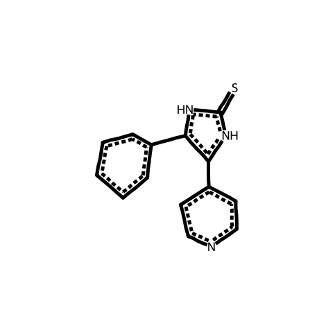 S=c1[nH]c(-c2ccccc2)c(-c2ccncc2)[nH]1